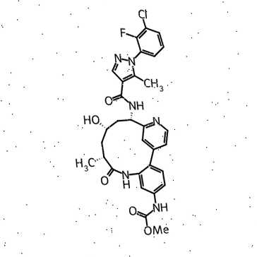 COC(=O)Nc1ccc2c(c1)NC(=O)[C@H](C)C[C@H](O)C[C@H](NC(=O)c1cnn(-c3cccc(Cl)c3F)c1C)c1cc-2ccn1